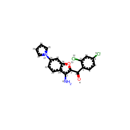 Nc1c(C(=O)c2ccc(Cl)cc2Cl)oc2cc(-n3cccc3)ccc12